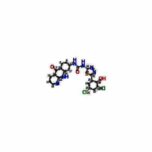 O=C(Nc1ccc2c(=O)c3cccnc3[nH]c2c1)Nc1nnc(-c2cc(Cl)cc(Cl)c2O)s1